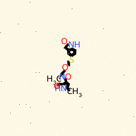 Cc1cc(C(=O)N(C)CCOCCSc2ccc3c(c2)CC(=O)N3)c(C=O)[nH]1